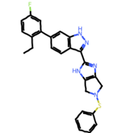 CCc1ccc(F)cc1-c1ccc2c(-c3nc4c([nH]3)CN(Sc3ccccc3)C4)n[nH]c2c1